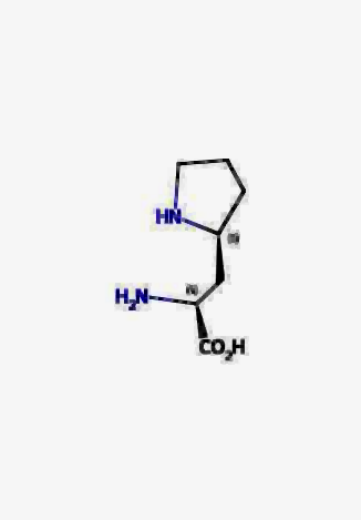 N[C@@H](C[C@@H]1CCCN1)C(=O)O